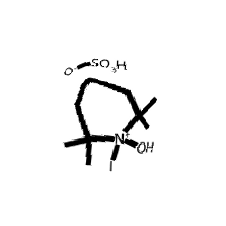 CC1(C)CCCC(C)(C)[N+]1(O)I.O=S(=O)([O-])O